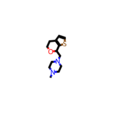 CN1CCN(CC2OCCc3ccsc32)CC1